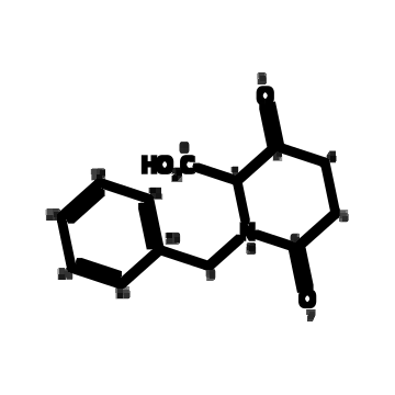 O=C(O)C1C(=O)CCC(=O)N1Cc1ccccc1